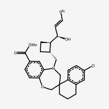 CCC/C=C/[C@@H](O)[C@@H]1CC[C@H]1CN1CC2(CCCc3cc(Cl)ccc32)COc2ccc(C(=O)OC)cc21